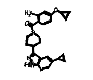 Nc1cc(OC2CC2)ccc1C(=O)N1CCC(c2n[nH]c3ncc(C4CC4)cc23)CC1